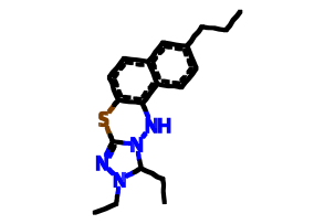 CCCc1ccc2c3c(ccc2c1)SC1=NN(CC)C(CC)N1N3